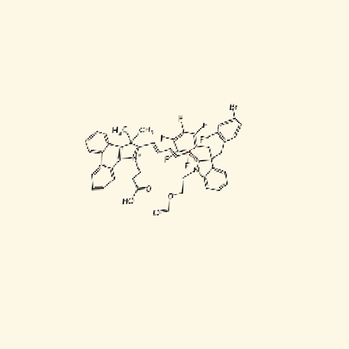 CC1(C)C(/C=C/C=C/C=C2\N(CCOC=O)c3ccccc3C2(Cc2ccc(Br)cc2F)Cc2c(F)c(F)c(F)c(F)c2F)=[N+](CCC(=O)O)c2c1c1ccccc1c1ccccc21